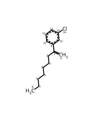 C=C(CCCCCCC)c1cccc(Cl)c1